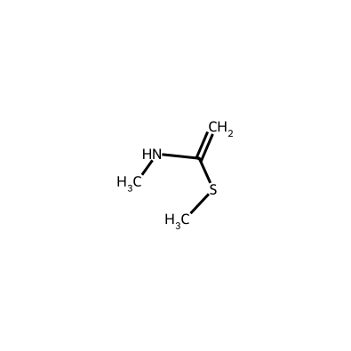 C=C(NC)SC